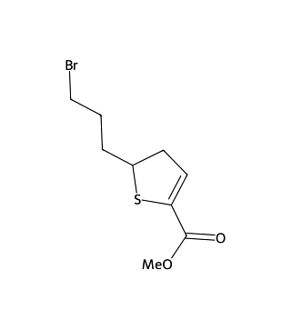 COC(=O)C1=CCC(CCCBr)S1